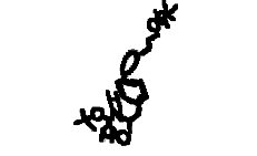 CC(C)(C)OC(=O)NC(CO)Cc1ccc(OCCCO[Si](C)(C)C(C)(C)C)cc1